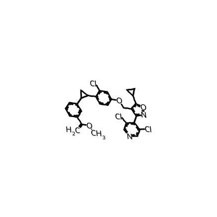 C=C(OC)c1cccc(C2CC2c2ccc(OCc3c(-c4c(Cl)cncc4Cl)noc3C3CC3)cc2Cl)c1